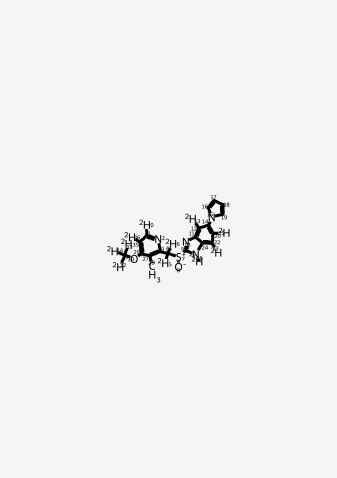 [2H]c1nc(C([2H])([2H])[S+]([O-])c2nc3c([2H])c(-n4cccc4)c([2H])c([2H])c3n2[2H])c(C)c(OC([2H])([2H])[2H])c1[2H]